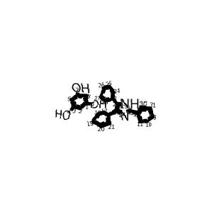 Oc1cc(O)cc(O)c1.c1ccc(-c2nc(-c3ccccc3)c(-c3ccccc3)[nH]2)cc1